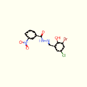 O=C(N/N=C/c1cc(Cl)cc(Br)c1O)c1cccc([N+](=O)[O-])c1